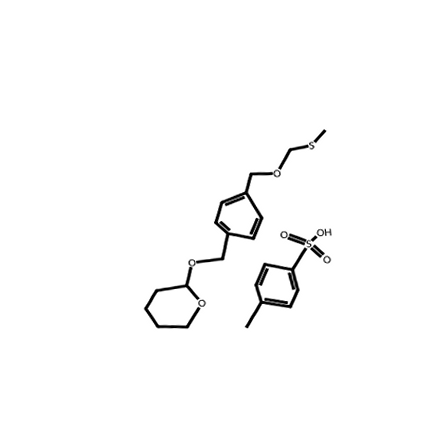 CSCOCc1ccc(COC2CCCCO2)cc1.Cc1ccc(S(=O)(=O)O)cc1